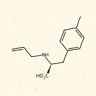 C=CCN[C@@H](Cc1ccc(C)cc1)C(=O)O